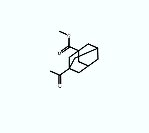 COC(=O)C12CC3CC(CC(C(C)=O)(C3)C1)C2